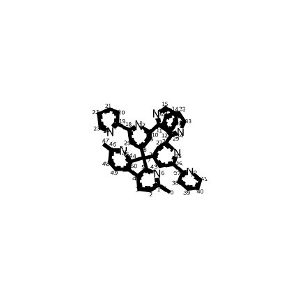 Cc1ccc2c(n1)C(c1cc(-c3ccccn3)nc(-c3ccccn3)c1)(c1cc(-c3ccccn3)nc(-c3ccccn3)c1)c1nc(C)ccc1-2